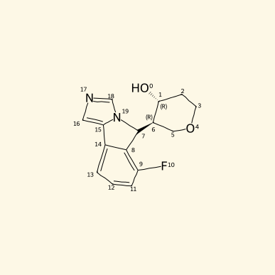 O[C@@H]1CCOC[C@H]1C1c2c(F)cccc2-c2cncn21